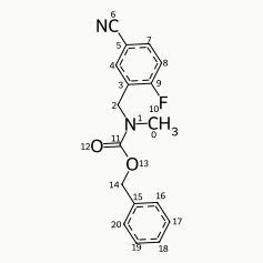 CN(Cc1cc(C#N)ccc1F)C(=O)OCc1ccccc1